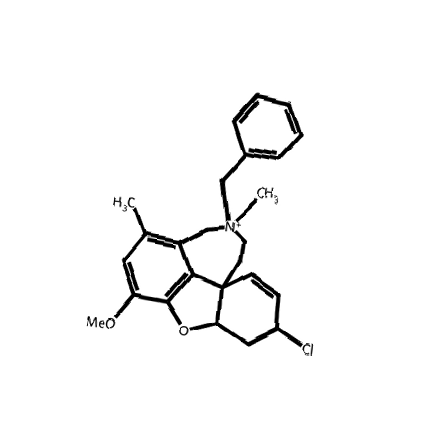 COc1cc(C)c2c3c1OC1CC(Cl)C=CC31CC[N+](C)(Cc1ccccc1)C2